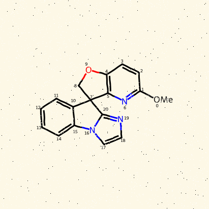 COc1ccc2c(n1)C1(CO2)c2ccccc2-n2ccnc21